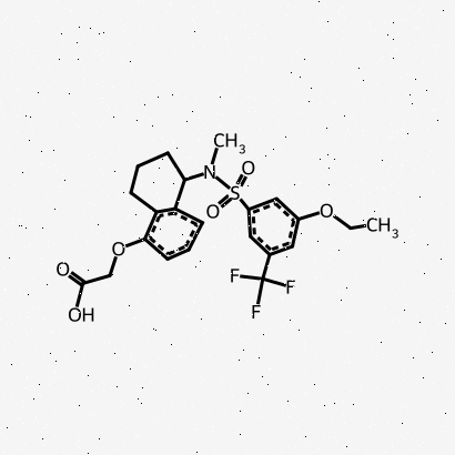 CCOc1cc(C(F)(F)F)cc(S(=O)(=O)N(C)C2CCCc3c(OCC(=O)O)cccc32)c1